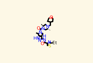 CCc1nc(C(=O)Nc2n[nH]c3c2CN(C(=O)N2C[C@@H](C)N(CC4CCOCC4)C[C@@H]2C)C3C)cs1